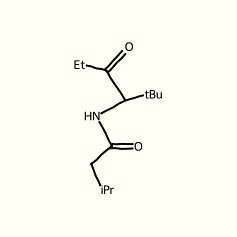 CCC(=O)C(NC(=O)CC(C)C)C(C)(C)C